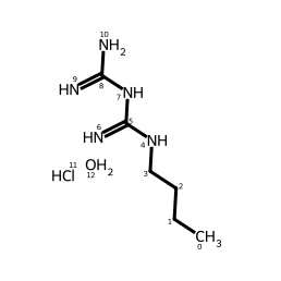 CCCCNC(=N)NC(=N)N.Cl.O